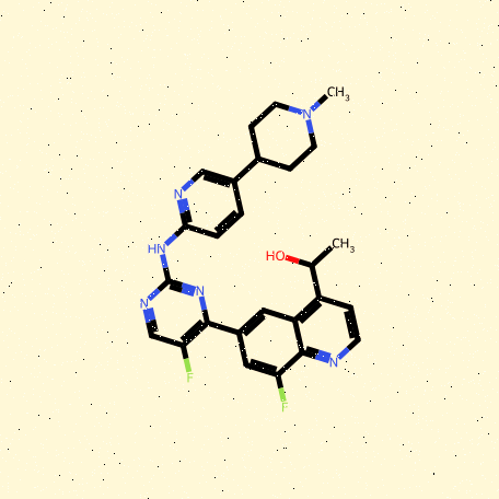 CC(O)c1ccnc2c(F)cc(-c3nc(Nc4ccc(C5CCN(C)CC5)cn4)ncc3F)cc12